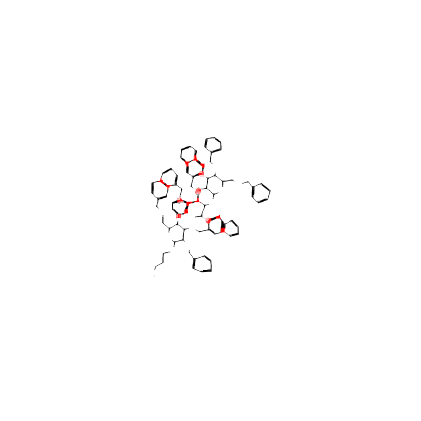 NCCCOC1OC(COCc2ccccc2)C(OC2OC(OCc3ccccc3)C(OC3OC(COCc4ccccc4)C(OCc4ccccc4)C(OCc4ccccc4)C3OCc3ccccc3)C(OCc3ccccc3)C2OCc2ccccc2)C(OCc2ccccc2)C1OCc1ccccc1